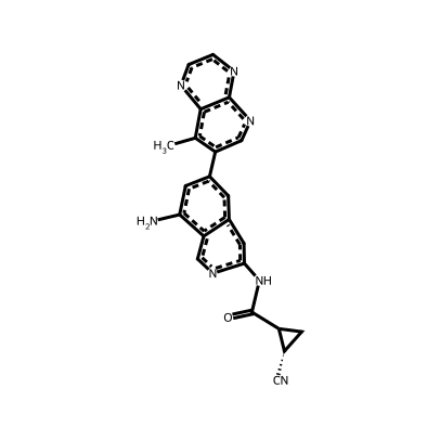 Cc1c(-c2cc(N)c3cnc(NC(=O)C4C[C@@H]4C#N)cc3c2)cnc2nccnc12